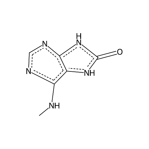 CNc1ncnc2[nH]c(=O)[nH]c12